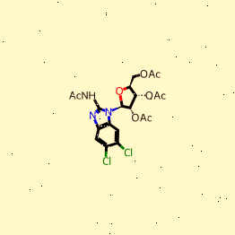 CC(=O)Nc1nc2cc(Cl)c(Cl)cc2n1[C@H]1O[C@@H](COC(C)=O)[C@H](OC(C)=O)[C@@H]1OC(C)=O